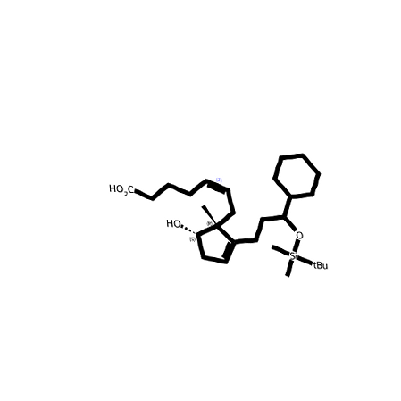 CC(C)(C)[Si](C)(C)OC(CCC1=CC[C@H](O)[C@]1(C)C/C=C\CCCC(=O)O)C1CCCCC1